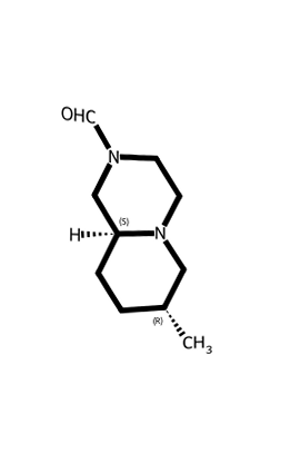 C[C@@H]1CC[C@H]2CN(C=O)CCN2C1